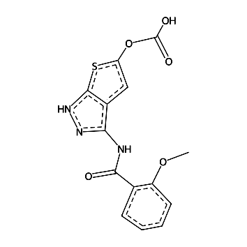 COc1ccccc1C(=O)Nc1n[nH]c2sc(OC(=O)O)cc12